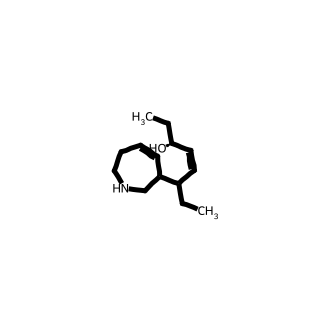 CCC(/C=C\[C@H](O)CC)C1C=CCCNC1